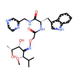 CO[C@H](/C(=N/OCC(=O)N[C@@H](Cc1c[nH]c2ccccc12)C(=O)NCc1cnccn1)[C@@H](O)[C@@H](C)O)C(C)C